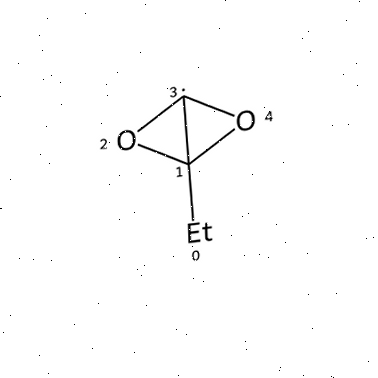 CCC12O[C]1O2